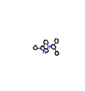 c1ccc(-c2cc(-c3ccccc3)cc(N3c4ccccc4-c4cc(-c5ccccc5)cc5nccc3c45)c2)cc1